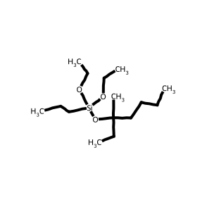 CCCCC(C)(CC)O[Si](CCC)(OCC)OCC